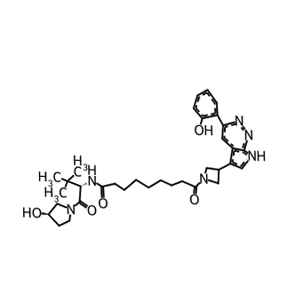 CC(C)(C)[C@H](NC(=O)CCCCCCCC(=O)N1CC(c2c[nH]c3nnc(-c4ccccc4O)cc23)C1)C(=O)N1CC[C@@H](O)C1